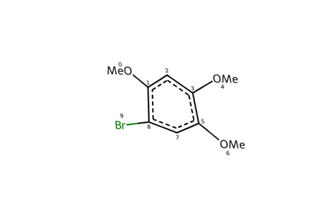 COc1cc(OC)c(OC)cc1Br